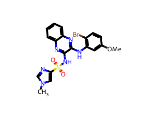 COc1ccc(Br)c(Nc2nc3ccccc3nc2NS(=O)(=O)c2cn(C)cn2)c1